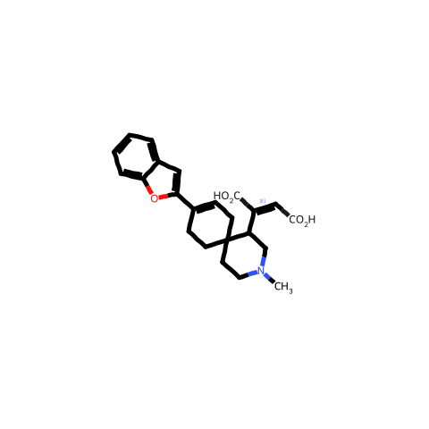 CN1CCC2(CC=C(c3cc4ccccc4o3)CC2)C(/C(=C\C(=O)O)C(=O)O)C1